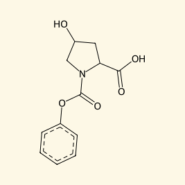 O=C(O)C1CC(O)CN1C(=O)Oc1ccccc1